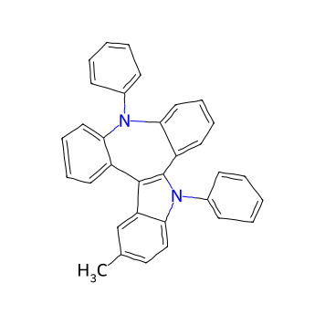 Cc1ccc2c(c1)c1c(n2-c2ccccc2)-c2ccccc2N(c2ccccc2)c2ccccc2-1